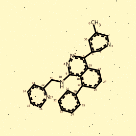 Cc1cncc(-c2nnc(NCc3ccccn3)c3c(-c4ccccc4)cccc23)c1